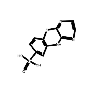 O=P(O)(O)c1ccc2c(c1)Nc1nccnc1S2